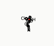 CN(C)CCN1CCN(C(=O)c2ccc(S(=O)(=O)Nc3ccccc3Oc3ccc(Cl)cc3Cl)cc2)CC1